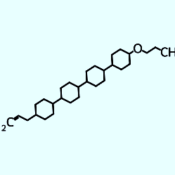 C=CCC1CCC(C2CCC(C3CCC(C4CCC(OCCC)CC4)CC3)CC2)CC1